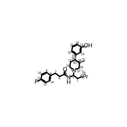 CC(C)CC(NC(=O)CCc1ccc(F)cc1)N1CC[C@@H](c2cccc(O)c2)[C@@H](C)[C@@H]1C